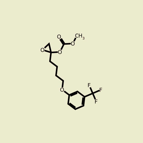 COC(=O)OC1(CCCCOc2cccc(C(F)(F)F)c2)CO1